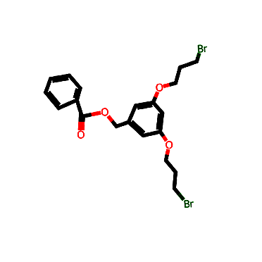 O=C(OCc1cc(OCCCBr)cc(OCCCBr)c1)c1ccccc1